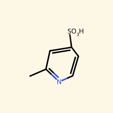 Cc1cc(S(=O)(=O)O)ccn1